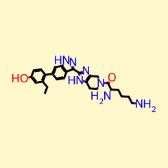 CCc1cc(O)ccc1-c1ccc2c(-c3nc4c([nH]3)CCN(C(=O)[C@@H](N)CCCCN)C4)n[nH]c2c1